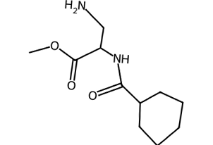 COC(=O)C(CN)NC(=O)C1CCCCC1